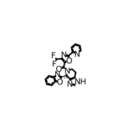 O=C(c1oc(-c2ccccn2)nc1C(F)F)N1CCc2[nH]cnc2[C@H]1c1nc2ccccc2o1